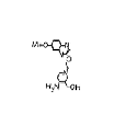 COc1ccc2ncc(OCCN3CCC(N)C(CO)C3)nc2c1